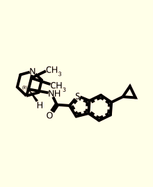 CC1(C)[C@H](NC(=O)c2cc3ccc(C4CC4)cc3s2)C2CCN1CC2